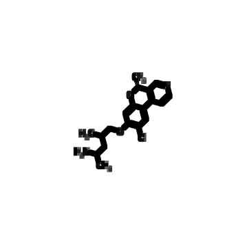 CC(N)CC(C)COc1cc2c(cc1Cl)-c1ccncc1[C@@H](C(F)(F)F)O2